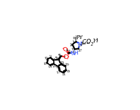 CC(C)[C@H]1C[C@@H](NC(=O)OCC2c3ccccc3-c3ccccc32)CN1C(=O)O